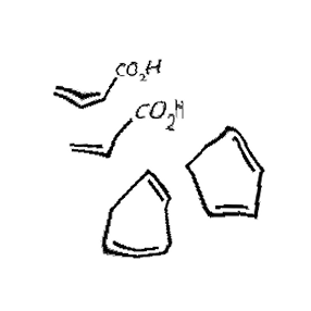 C1=CCC=C1.C1=CCC=C1.C=CC(=O)O.C=CC(=O)O